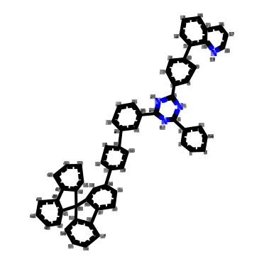 c1ccc(-c2nc(-c3ccc(-c4cccc5cccnc45)cc3)nc(-c3cccc(-c4ccc(-c5ccc6c(c5)C5(c7ccccc7-c7ccccc75)c5ccccc5-6)cc4)c3)n2)cc1